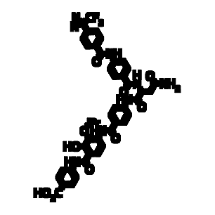 CC(C)Oc1c(NC(=O)c2ccc(NC(=O)C(CC(N)=O)NC(=O)c3ccc(NC(=O)c4ccc(C5(C(F)(F)F)N=N5)cc4)cc3)cc2)ccc(C(=O)Nc2ccc(C(=O)O)cc2)c1O